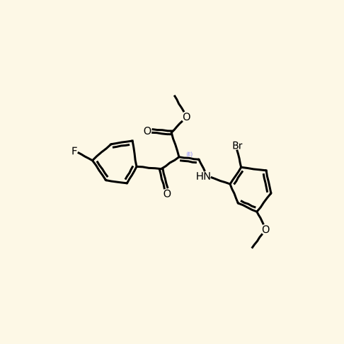 COC(=O)/C(=C/Nc1cc(OC)ccc1Br)C(=O)c1ccc(F)cc1